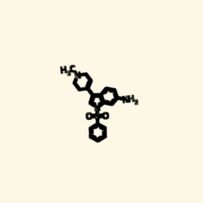 CN1CC=C(c2cn(S(=O)(=O)c3ccccc3)c3cc(N)ccc23)CC1